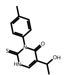 Cc1ccc(-n2c(=S)[nH]cc(C(C)O)c2=O)cc1